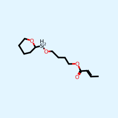 CC=CC(=O)OCCCCO[SiH2]C1CCCCO1